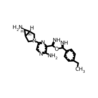 CCc1ccc(C(=N)OC(=N)c2nc(N3CC4[C@@H](N)[C@H]4C3)cnc2N)cc1